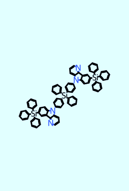 c1ccc([Si](c2ccccc2)(c2ccc(-n3c4ccc([Si](c5ccccc5)(c5ccccc5)c5ccccc5)cc4c4ncccc43)cc2)c2ccc(-n3c4ccc([Si](c5ccccc5)(c5ccccc5)c5ccccc5)cc4c4ncccc43)cc2)cc1